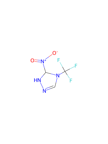 O=[N+]([O-])C1NN=CN1C(F)(F)F